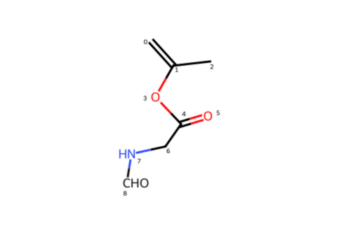 C=C(C)OC(=O)CNC=O